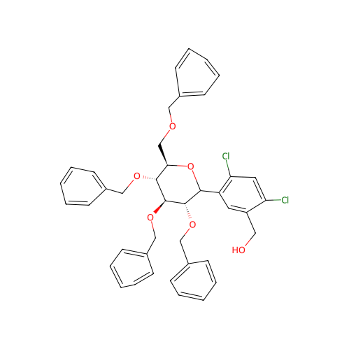 OCc1cc(C2O[C@H](COCc3ccccc3)[C@@H](OCc3ccccc3)[C@H](OCc3ccccc3)[C@H]2OCc2ccccc2)c(Cl)cc1Cl